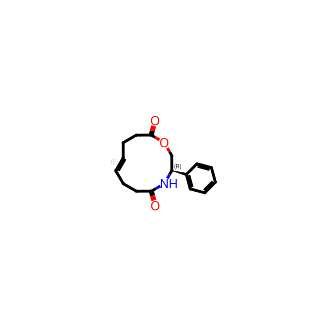 O=C1CC/C=C/CCC(=O)OC[C@@H](c2ccccc2)N1